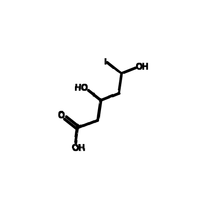 O=C(O)CC(O)CC(O)I